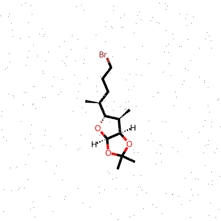 C[C@H]1[C@H]2OC(C)(C)O[C@H]2O[C@@H]1[C@@H](C)CCCBr